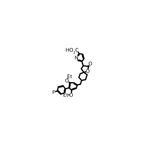 CCOc1cc(CC2CCC3(CC2)CC(c2ccc(C(=O)O)nc2)C(=O)O3)cc(OCC)c1-c1ccc(F)cc1